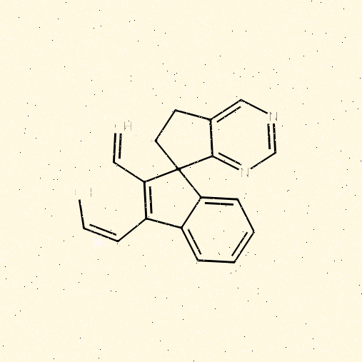 C=CC1=C(/C=C\C)c2ccccc2C12CCc1cncnc12